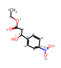 CCOC(=O)CC(O)c1ccc([N+](=O)[O-])cc1